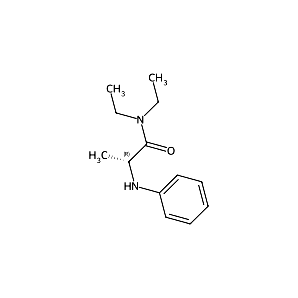 CCN(CC)C(=O)[C@@H](C)Nc1ccccc1